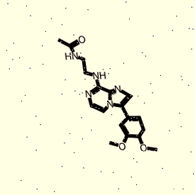 COC1=CC(c2cnc3c(NCCNC(C)=O)nccn23)=CCC1OC